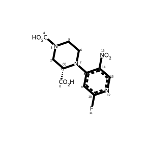 O=C(O)[C@@H]1CN(C(=O)O)CCN1c1cc(F)ncc1[N+](=O)[O-]